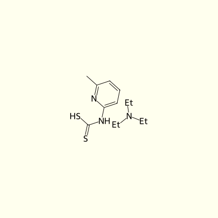 CCN(CC)CC.Cc1cccc(NC(=S)S)n1